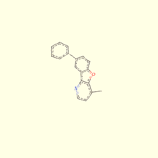 Cc1ccnc2c1oc1ccc(-c3ccccc3)cc12